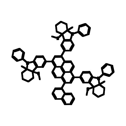 CSC12CCCCC1(C)N(c1ccccc1)c1ccc(-c3cc(-c4ccc5c(c4)C4(SC)CCCCC4(C)N5c4ccccc4)c4ccc5c(-c6cccc7ccccc67)cc(-c6ccc7c(c6)C6(SC)CCCCC6(C)N7c6ccccc6)c6ccc3c4c65)cc12